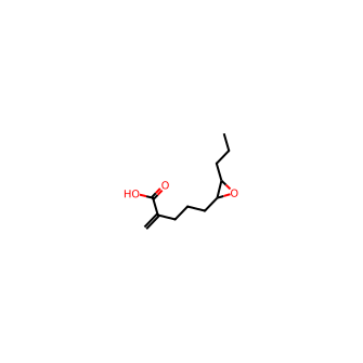 C=C(CCCC1OC1CCC)C(=O)O